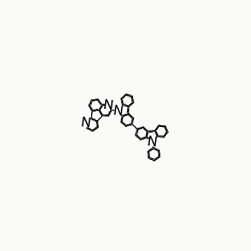 c1ccc(-n2c3ccccc3c3cc(-c4ccc5c(c4)c4ccccc4n5-c4cc5c6c(cccc6n4)-c4ncccc4-5)ccc32)cc1